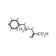 C=C(C[SiH2]Cc1ccccc1)C(=O)O